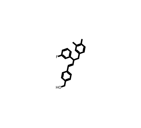 Cc1ccc(CC(C=Cc2ccc(CO)cc2)c2cccc(F)c2)cc1C